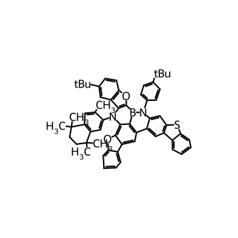 Cc1cc2c(cc1N1c3c(oc4ccc(C(C)(C)C)cc34)B3c4c(cc5c(oc6ccccc65)c41)-c1cc4c(cc1N3c1ccc(C(C)(C)C)cc1)sc1ccccc14)C(C)(C)CCC2(C)C